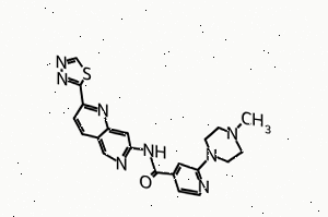 CN1CCN(c2cc(C(=O)Nc3cc4nc(-c5nncs5)ccc4cn3)ccn2)CC1